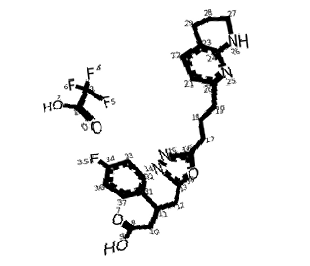 O=C(O)C(F)(F)F.O=C(O)CC(Cc1nnc(CCCc2ccc3c(n2)NCCC3)o1)c1ccc(F)cc1